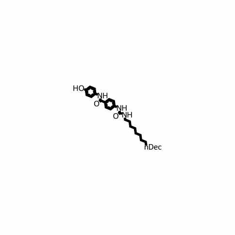 CCCCCCCCCCCCCCCCCCNC(=O)Nc1ccc(C(=O)Nc2ccc(O)cc2)cc1